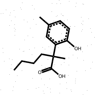 CCCCC(C)(C(=O)O)c1cc(C)ccc1O